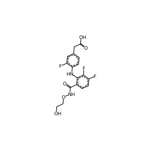 O=C(O)Cc1ccc(Nc2c(C(=O)NOCCO)ccc(F)c2F)c(F)c1